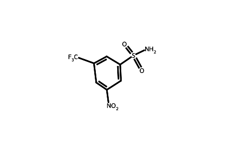 NS(=O)(=O)c1cc([N+](=O)[O-])cc(C(F)(F)F)c1